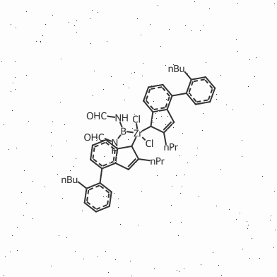 CCCCc1ccccc1-c1cccc2c1C=C(CCC)[CH]2[Zr]([Cl])([Cl])([B](NC=O)NC=O)[CH]1C(CCC)=Cc2c(-c3ccccc3CCCC)cccc21